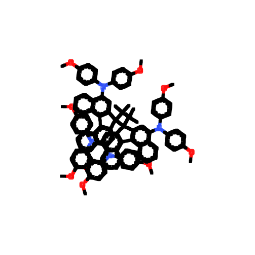 COc1ccc(N(c2ccc(OC)cc2)c2cc3c(c4ccccc24)-c2c(cc(N(c4ccc(OC)cc4)c4ccc(OC)cc4)c4ccccc24)C3(C(C)(C)C)C2(C(C)(C)C)c3cc(N(c4ccc(OC)cc4)c4ccc(OC)cc4)c4ccccc4c3-c3c2cc(N(c2ccc(OC)cc2)c2ccc(OC)cc2)c2ccccc32)cc1